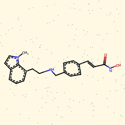 Cn1ccc2cccc(CCNCc3ccc(/C=C/C(=O)NO)cc3)c21